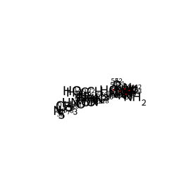 Cc1ncsc1-c1ccc(CNC(=O)[C@@H]2C[C@@H](O)CN2C(=O)[C@H](c2cc(N3CCC(CCN4CCC(c5cnc(N6C7CCC6CN(c6cc(-c8ccccc8O)nnc6N)C7)nc5)CC4)CC3)no2)C(C)C)cc1